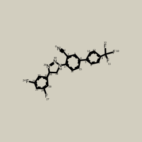 N#Cc1cc(-c2ccc(C(F)(F)F)cc2)ccc1N1CC(c2cc(F)cc(F)c2)N=N1